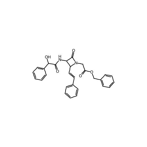 O=C(CN1C(=O)C(NC(=O)C(O)c2ccccc2)C1C=Cc1ccccc1)OCc1ccccc1